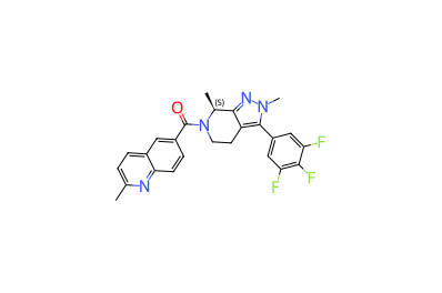 Cc1ccc2cc(C(=O)N3CCc4c(nn(C)c4-c4cc(F)c(F)c(F)c4)[C@@H]3C)ccc2n1